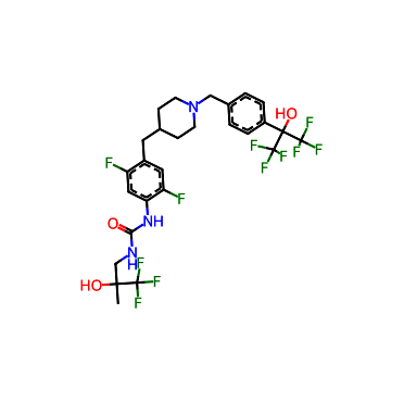 CC(O)(CNC(=O)Nc1cc(F)c(CC2CCN(Cc3ccc(C(O)(C(F)(F)F)C(F)(F)F)cc3)CC2)cc1F)C(F)(F)F